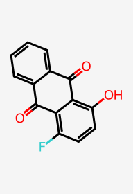 O=C1c2ccccc2C(=O)c2c(F)ccc(O)c21